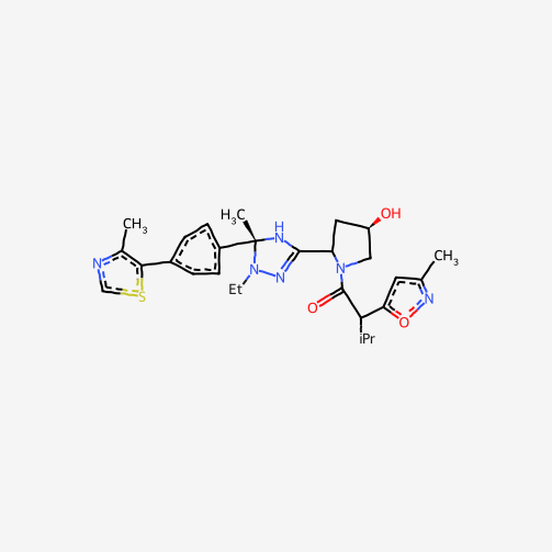 CCN1N=C(C2C[C@@H](O)CN2C(=O)C(c2cc(C)no2)C(C)C)N[C@@]1(C)c1ccc(-c2scnc2C)cc1